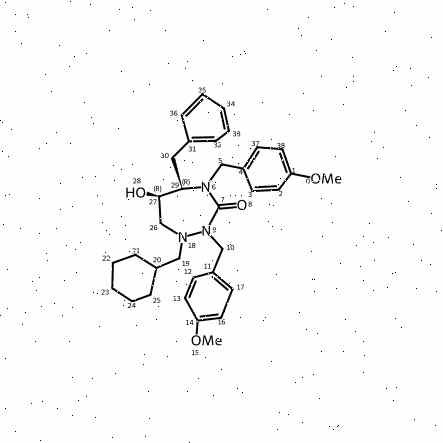 COc1ccc(CN2C(=O)N(Cc3ccc(OC)cc3)N(CC3CCCCC3)C[C@@H](O)[C@H]2Cc2ccccc2)cc1